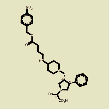 CC(C)[C@H](C(=O)O)N1C[C@H](CN2CCC(NCC=CC(=O)OCc3ccc([N+](=O)[O-])cc3)CC2)[C@@H](c2ccccc2)C1